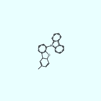 CC1=CC2c3cccc(-n4c5ccccc5c5ccccc54)c3OC2C=C1